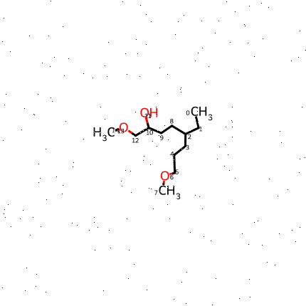 CCC(CCCOC)CCC(O)COC